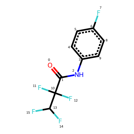 O=C(Nc1ccc(F)cc1)C(F)(F)C(F)F